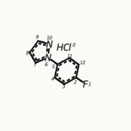 Cl.Fc1ccc(-n2cccn2)cc1